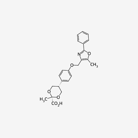 Cc1oc(-c2ccccc2)nc1COc1ccc([C@H]2CO[C@@](C)(C(=O)O)OC2)cc1